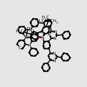 CC(C)(C)c1ccc2c(c1)c1cc(C(C)(C)C)ccc1n2-c1ccc(-c2cc(-c3ccccc3)nc(-c3ccccc3)n2)cc1-c1nc(-c2ccccc2)nc(-c2cccc(-c3cccc(N4c5ccccc5B5c6ccccc6N(c6ccccc6)c6cccc4c65)c3)c2)n1